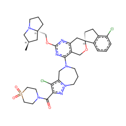 C[C@H]1CN2CCC[C@@]2(COc2nc3c(c(N4CCCn5nc(C(=O)N6CCS(=O)(=O)CC6)c(Cl)c5C4)n2)CO[C@@]2(CCc4c(Cl)cccc42)C3)C1